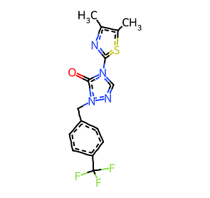 Cc1nc(-n2cnn(Cc3ccc(C(F)(F)F)cc3)c2=O)sc1C